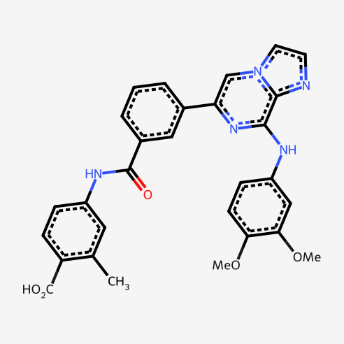 COc1ccc(Nc2nc(-c3cccc(C(=O)Nc4ccc(C(=O)O)c(C)c4)c3)cn3ccnc23)cc1OC